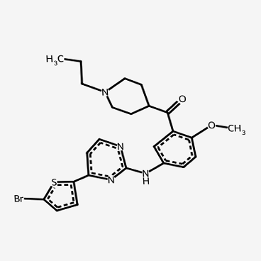 CCCN1CCC(C(=O)c2cc(Nc3nccc(-c4ccc(Br)s4)n3)ccc2OC)CC1